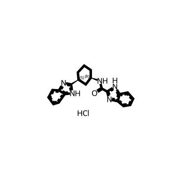 Cl.O=C(N[C@@H]1CCC[C@H](c2nc3ccccc3[nH]2)C1)c1nc2ccccc2[nH]1